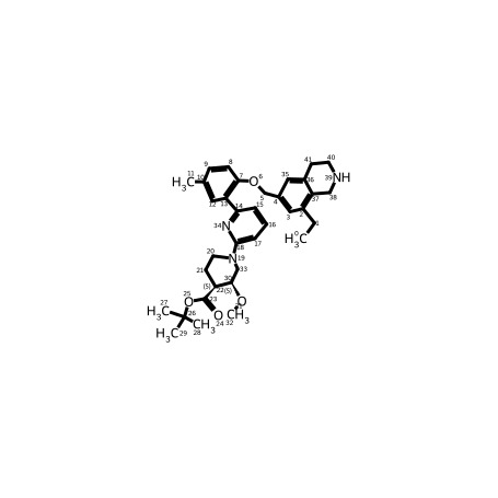 CCc1cc(COc2ccc(C)cc2-c2cccc(N3CC[C@H](C(=O)OC(C)(C)C)[C@H](OC)C3)n2)cc2c1CNCC2